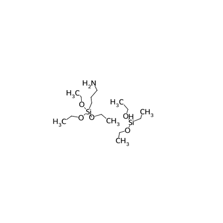 CCO[SiH](CC)OCC.CCO[Si](CCCN)(OCC)OCC